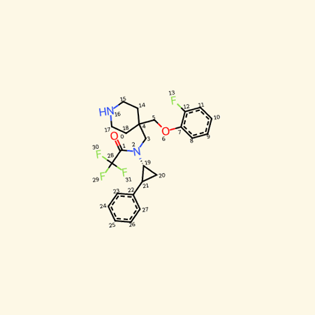 O=C(N(CC1(COc2ccccc2F)CCNCC1)[C@@H]1CC1c1ccccc1)C(F)(F)F